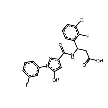 O=C(O)CC(NC(=O)c1cc(O)n(-c2cccc(F)c2)n1)c1cccc(Cl)c1F